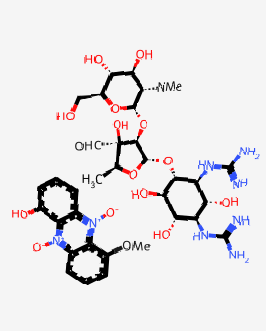 CN[C@@H]1[C@H](O[C@H]2[C@H](O[C@H]3[C@H](O)[C@@H](O)[C@H](NC(=N)N)[C@@H](O)[C@@H]3NC(=N)N)O[C@@H](C)[C@]2(O)C=O)O[C@@H](CO)[C@H](O)[C@H]1O.COc1cccc2c1[n+]([O-])c1cccc(O)c1[n+]2[O-]